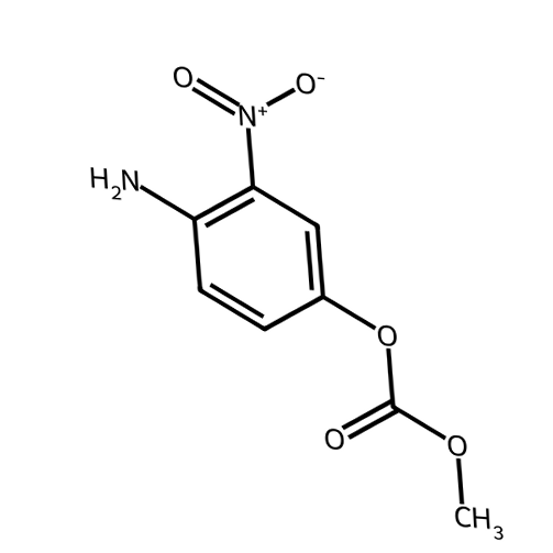 COC(=O)Oc1ccc(N)c([N+](=O)[O-])c1